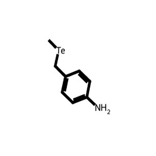 C[Te]Cc1ccc(N)cc1